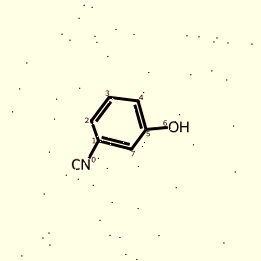 [C-]#[N+]c1cccc(O)c1